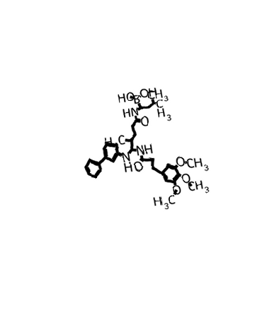 COc1cc(CCC(=O)NC(Nc2cccc(-c3ccccc3)c2)C(C)CCC(=O)NC(CC(C)C)B(O)O)cc(OC)c1OC